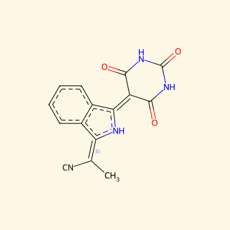 [C-]#[N+]/C(C)=c1/[nH]c(=C2C(=O)NC(=O)NC2=O)c2ccccc12